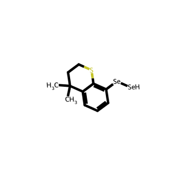 CC1(C)CCSc2c([Se][SeH])cccc21